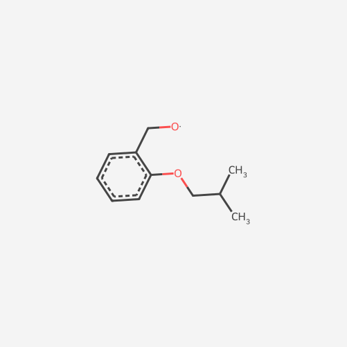 CC(C)COc1ccccc1C[O]